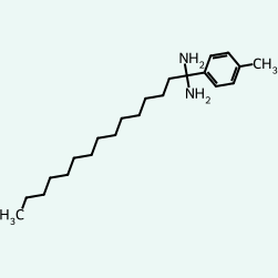 CCCCCCCCCCCCCCC(N)(N)c1ccc(C)cc1